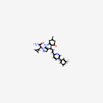 CC1CC(=O)C2=C(C1)Nc1c(cnn1C(C(N)=O)C1CC1)C2C=Cc1ccc(-c2cccc(F)c2)cn1